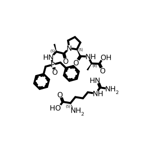 C[C@H](NP(=O)(Cc1ccccc1)Cc1ccccc1)C(=O)N1CCC[C@H]1C(=O)N[C@H](C)C(=O)O.N=C(N)NCCC[C@H](N)C(=O)O